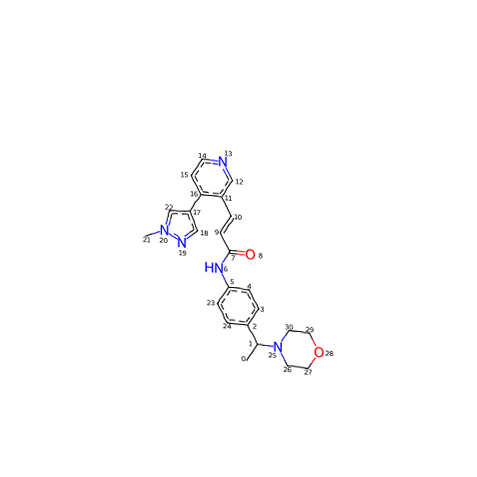 CC(c1ccc(NC(=O)/C=C/c2cnccc2-c2cnn(C)c2)cc1)N1CCOCC1